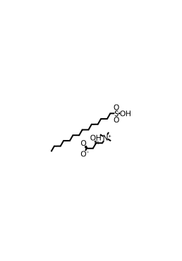 CCCCCCCCCCCCCCS(=O)(=O)O.C[N+](C)(C)C[C@H](O)CC(=O)[O-]